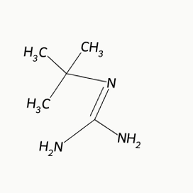 CC(C)(C)N=C(N)N